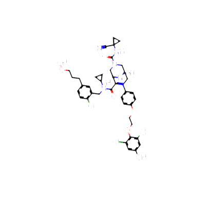 COCCCc1ccc(Cl)c(CN(C(=O)C2=C(c3ccc(OCCOc4c(Cl)cc(C)cc4Cl)cc3)C[C@@H]3CN(C(=O)NC4(C#N)CC4)C[C@H]2N3)C2CC2)c1